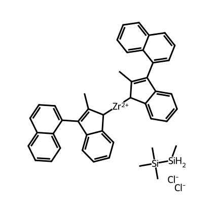 CC1=C(c2cccc3ccccc23)c2ccccc2[CH]1[Zr+2][CH]1C(C)=C(c2cccc3ccccc23)c2ccccc21.C[SiH2][Si](C)(C)C.[Cl-].[Cl-]